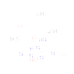 Cc1cc([C@@H](C)Nc2ccc(Cl)nc2/C(N)=N/O)c2oc(-c3cncnc3)c(C)c(=O)c2c1